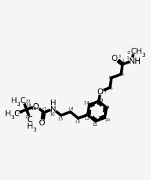 CNC(=O)CCCOc1cccc(CCCNC(=O)OC(C)(C)C)c1